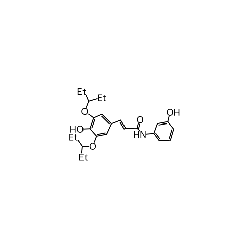 CCC(CC)Oc1cc(C=CC(=O)Nc2cccc(O)c2)cc(OC(CC)CC)c1O